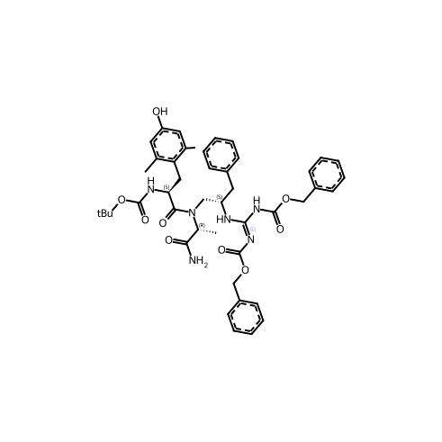 Cc1cc(O)cc(C)c1C[C@H](NC(=O)OC(C)(C)C)C(=O)N(C[C@H](Cc1ccccc1)N/C(=N\C(=O)OCc1ccccc1)NC(=O)OCc1ccccc1)[C@H](C)C(N)=O